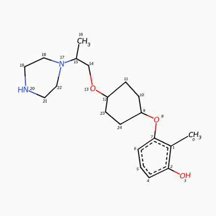 Cc1c(O)cccc1OC1CCC(OCC(C)N2CCNCC2)CC1